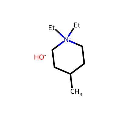 CC[N+]1(CC)CCC(C)CC1.[OH-]